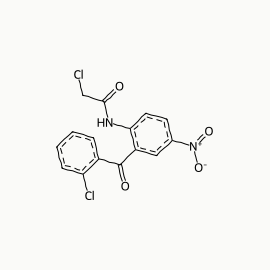 O=C(CCl)Nc1ccc([N+](=O)[O-])cc1C(=O)c1ccccc1Cl